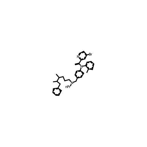 C=C(c1cc(Br)ccn1)N(c1ccc(CN(CCC)CCCC(C)C(C)Cc2ccccc2)cc1)c1ccccc1C